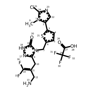 Cn1c(-c2ccc(Cn3c(CC(CN)=C(F)F)n[nH]c3=O)s2)cnc1Cl.O=C(O)C(F)(F)F